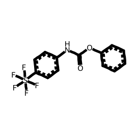 O=C(Nc1ccc(S(F)(F)(F)(F)F)cc1)Oc1ccccc1